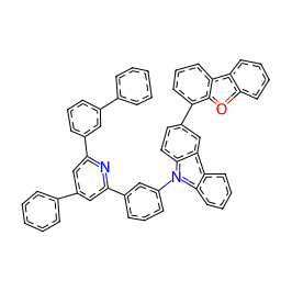 c1ccc(-c2cccc(-c3cc(-c4ccccc4)cc(-c4cccc(-n5c6ccccc6c6cc(-c7cccc8c7oc7ccccc78)ccc65)c4)n3)c2)cc1